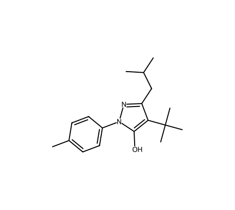 Cc1ccc(-n2nc(CC(C)C)c(C(C)(C)C)c2O)cc1